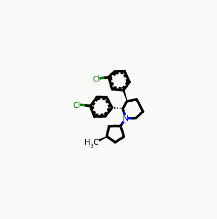 C[C@@H]1CCC(N2CCC[C@H](c3cccc(Cl)c3)[C@H]2c2ccc(Cl)cc2)C1